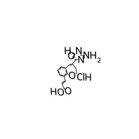 Cl.NC(N)=NC(=O)C1=Cc2cccc(C=CC(=O)O)c2OCC1